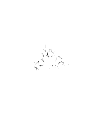 COc1cc(-c2cnc3[nH]cc(-c4ccc5ncsc5c4)c3n2)ccc1C#N